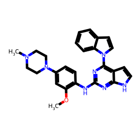 COc1cc(N2CCN(C)CC2)ccc1Nc1nc(-n2ccc3ccccc32)c2cc[nH]c2n1